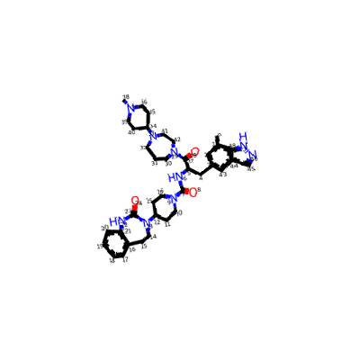 Cc1cc(CC(NC(=O)N2CCC(N3CCc4ccccc4NC3=O)CC2)C(=O)N2CCCN(C3CCN(C)CC3)CC2)cc2cn[nH]c12